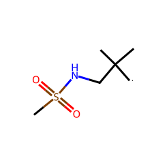 [CH2]C(C)(C)CNS(C)(=O)=O